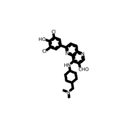 CN(C)CC1CCC(Nc2c(C=O)cnc3ccc(-c4cc(Cl)c(O)c(Cl)c4)nc23)CC1